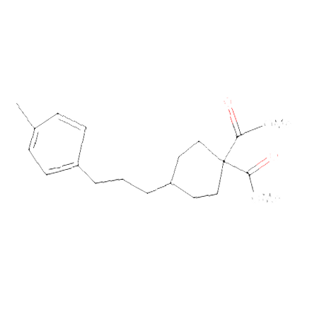 COC(=O)C1(C(=O)OC)CCC(CCCc2ccc(C)cc2)CC1